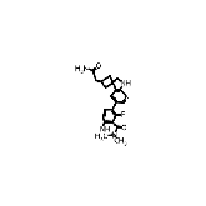 CN(C)C(=O)c1c(N)ccc(-c2cnc3c(c2)C2(CN3)CC(CC(N)=O)C2)c1F